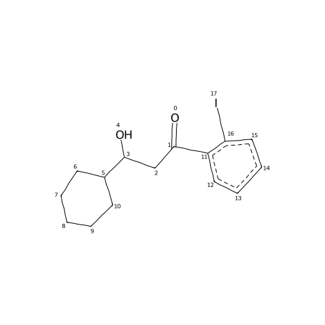 O=C(CC(O)C1CCCCC1)c1ccccc1I